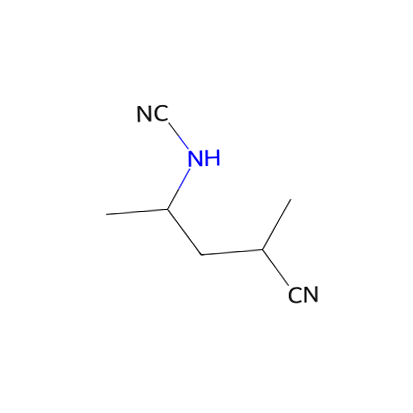 CC(C#N)CC(C)NC#N